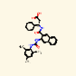 Cc1cc(C)c(NC(=O)Nc2cc3ccccc3cc2C(=O)N[C@H](CC(=O)O)C2CCCCC2)c(C)c1